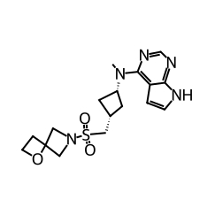 CN(c1ncnc2[nH]ccc12)[C@H]1C[C@@H](CS(=O)(=O)N2CC3(CCO3)C2)C1